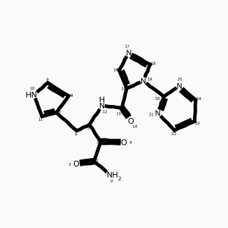 NC(=O)C(=O)C(Cc1cc[nH]c1)NC(=O)c1cncn1-c1ncccn1